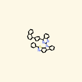 c1ccc(-c2nc3ccc4c5ccccc5n(-c5nc(-c6ccc(-c7cccc8ccccc78)cc6)c6ccccc6n5)c4c3s2)cc1